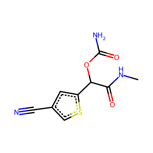 CNC(=O)C(OC(N)=O)c1cc(C#N)cs1